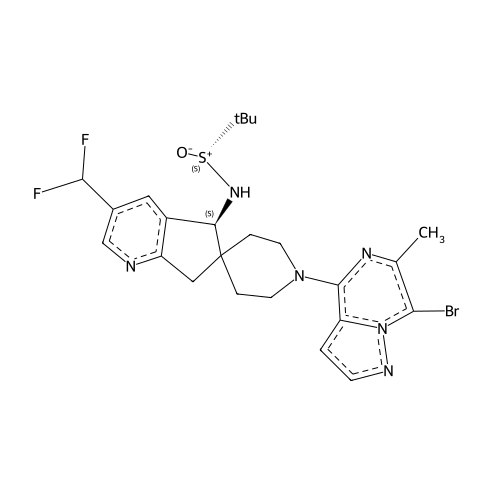 Cc1nc(N2CCC3(CC2)Cc2ncc(C(F)F)cc2[C@H]3N[S@+]([O-])C(C)(C)C)c2ccnn2c1Br